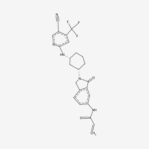 C=CC(=O)Nc1ccc2c(c1)C(=O)N([C@H]1CCC[C@@H](Nc3cc(C(F)(F)F)c(C#N)cn3)C1)C2